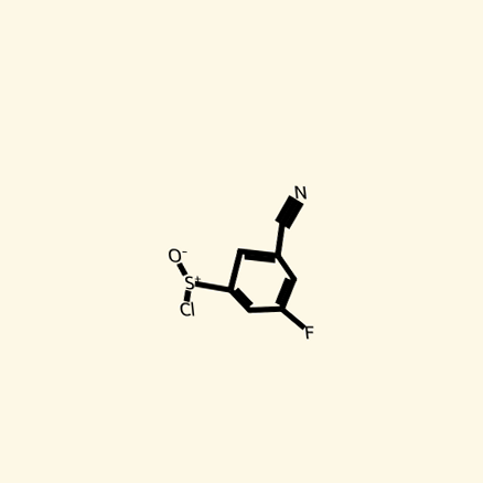 N#Cc1cc(F)cc([S+]([O-])Cl)c1